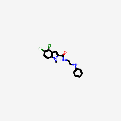 Cn1c(C(=O)NCCNc2ccccc2)cc2c(Cl)c(Cl)ccc21